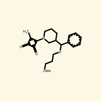 COCCCOC(c1ccccc1)C1CCCN(c2c(C)c(=O)c2=O)C1